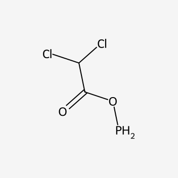 O=C(OP)C(Cl)Cl